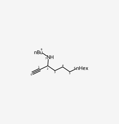 C#CC(CCCCCCCCC)NCCCC